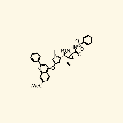 C=C[C@@]1(C(=O)[C@@H]2C[C@@H](Oc3cc(-c4ccccc4)nc4cc(OC)ccc34)CN2)C[C@]1(N)C(=O)NS(=O)(=O)c1ccccc1